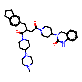 CN1CCN(C2CCN(C(=O)C(CC(=O)N3CCC(N4Cc5ccccc5NC4=O)CC3)Cc3ccc4c(c3)CCC4)CC2)CC1